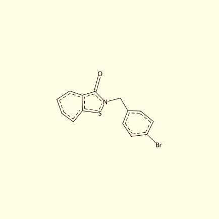 O=c1c2ccccc2sn1Cc1ccc(Br)cc1